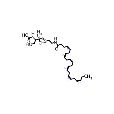 CC/C=C\C/C=C\C/C=C\C/C=C\C/C=C\C/C=C\CCC(=O)NCCSSC(C)(C)C(CO)NC(=O)O